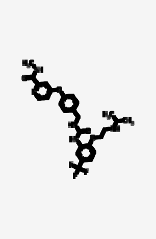 CNC(=O)c1cc(Oc2ccc(CNC(=O)Nc3cc(C(F)(F)F)ccc3OCCNC(C)C)cc2)ccn1